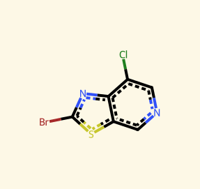 Clc1cncc2sc(Br)nc12